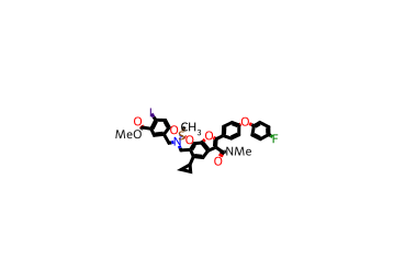 CNC(=O)c1c(-c2ccc(Oc3ccc(F)cc3)cc2)oc2cc(CN(Cc3ccc(I)c(C(=O)OC)c3)S(C)(=O)=O)c(C3CC3)cc12